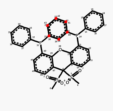 CS(=O)(=O)C1(S(C)(=O)=O)c2cccc(P(c3ccccc3)c3ccccc3)c2Oc2c(P(c3ccccc3)c3ccccc3)cccc21